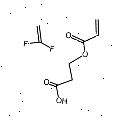 C=C(F)F.C=CC(=O)OCCC(=O)O